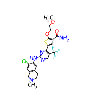 COCCOc1sc(-c2nc(Nc3cc4c(cc3Cl)CN(C)CC4)ncc2C(F)(F)F)cc1C(N)=O